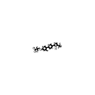 Cc1cc(OCC(C)(C)C(=O)O)ncc1-c1ccc(-c2ncc(C(F)(F)F)[nH]2)cn1